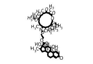 CC[C@H]1OC(=O)[C@H](C)C(=O)[C@H](C)[C@@H](C)[C@](C)(OC)C[C@@H](C)/C(=N/OCCOC(=O)[C@@]2(O)[C@H](C)CC3C4CCC5=CC(=O)C=C[C@]5(C)[C@@]4(F)[C@@H](O)C[C@@]32C)[C@H](C)[C@@H](O)[C@]1(C)O